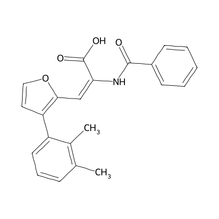 Cc1cccc(-c2ccoc2/C=C(/NC(=O)c2ccccc2)C(=O)O)c1C